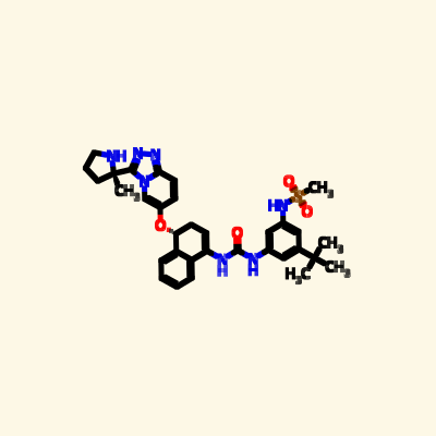 CC(C)(C)c1cc(NC(=O)NC2=CC[C@@H](Oc3ccc4nnc([C@]5(C)CCCN5)n4c3)c3ccccc32)cc(NS(C)(=O)=O)c1